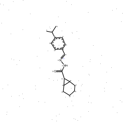 CC(C)c1ccc(/C=N/NC(=O)C2C3CCCCC32)cc1